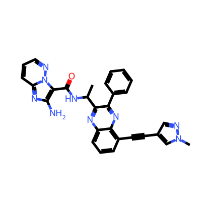 CC(NC(=O)c1c(N)nc2cccnn12)c1nc2cccc(C#Cc3cnn(C)c3)c2nc1-c1ccccc1